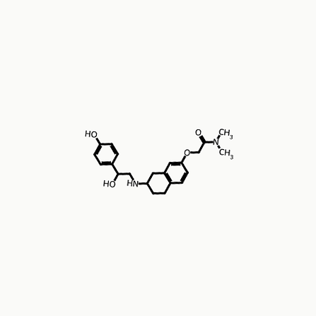 CN(C)C(=O)COc1ccc2c(c1)CC(NCC(O)c1ccc(O)cc1)CC2